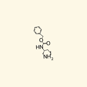 NC[C@H](CI)NC(=O)OCc1ccccc1